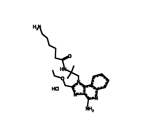 CCOCc1nc2c(N)nc3ccccc3c2n1CC(C)(C)NC(=O)CCCCCN.Cl